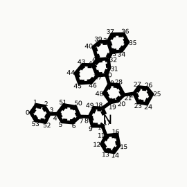 c1ccc(-c2ccc(-c3cc(-c4ccccc4)nc(-c4cc(-c5ccccc5)cc(-c5cc6c7ccccc7ccc6c6ccccc56)c4)c3)cc2)cc1